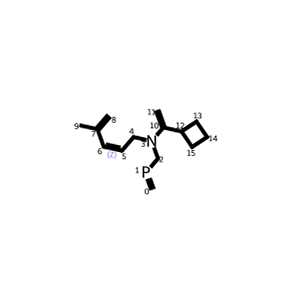 C=PCN(C/C=C\C(=C)C)C(=C)C1CCC1